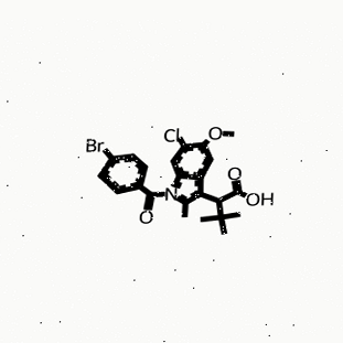 COc1cc2c(C(C(=O)O)C(C)(C)C)c(C)n(C(=O)c3ccc(Br)cc3)c2cc1Cl